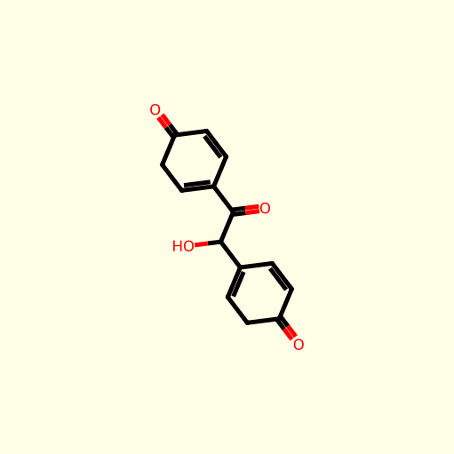 O=C1C=CC(C(=O)C(O)C2=CCC(=O)C=C2)=CC1